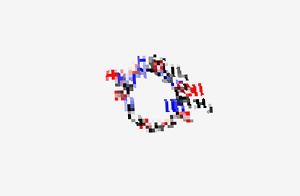 CC(=O)C[C@H]1NC(=O)N[C@H](CO)C(=O)NCCOCCOCC(=O)N[C@H](C(C)O)C(=O)NN(C)C1=O